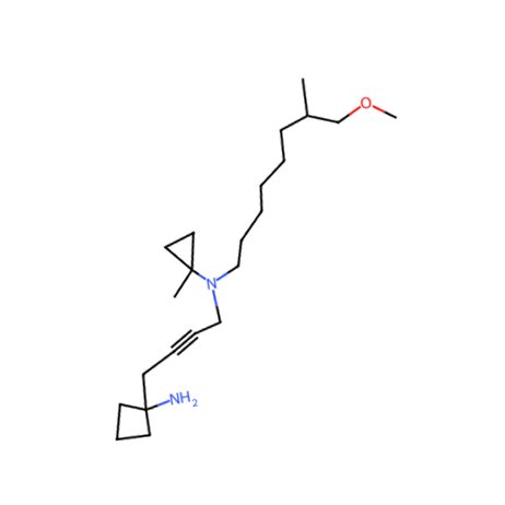 COCC(C)CCCCCCN(CC#CCC1(N)CCC1)C1(C)CC1